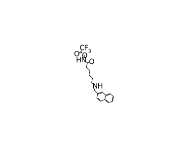 O=C(CCCCCNCc1ccc2ccccc2c1)NOC(=O)C(F)(F)F